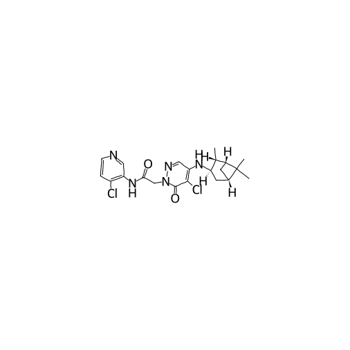 C[C@@H]1[C@H]2C[C@@H](C[C@H]1Nc1cnn(CC(=O)Nc3cnccc3Cl)c(=O)c1Cl)C2(C)C